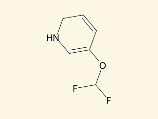 FC(F)OC1=CNCC=C1